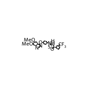 COc1cc2ncnc(Oc3ccc(NC(=S)NC(=O)c4cccc(C(F)(F)F)c4)cc3)c2cc1OC